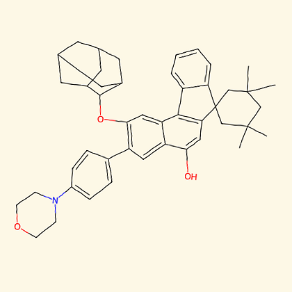 CC1(C)CC(C)(C)CC2(C1)c1ccccc1-c1c2cc(O)c2cc(-c3ccc(N4CCOCC4)cc3)c(OC3C4CC5CC(C4)CC3C5)cc12